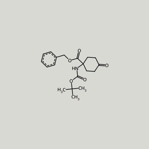 CC(C)(C)OC(=O)NC1(C(=O)OCc2ccccc2)CCC(=O)CC1